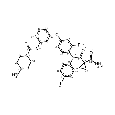 CN1CCN(C(=O)Nc2cc(Oc3ccc(N(C(=O)C4(C(N)=O)CC4)c4ccc(F)cc4)c(F)c3)ccn2)CC1